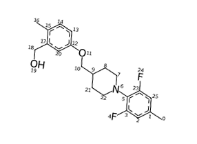 Cc1cc(F)c(N2CCC(COc3ccc(C)c(CO)c3)CC2)c(F)c1